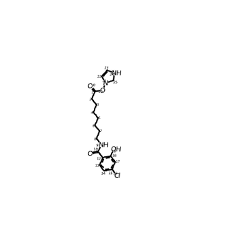 O=C(CCCCCCCNC(=O)c1ccc(Cl)cc1O)ON1C=CNC1